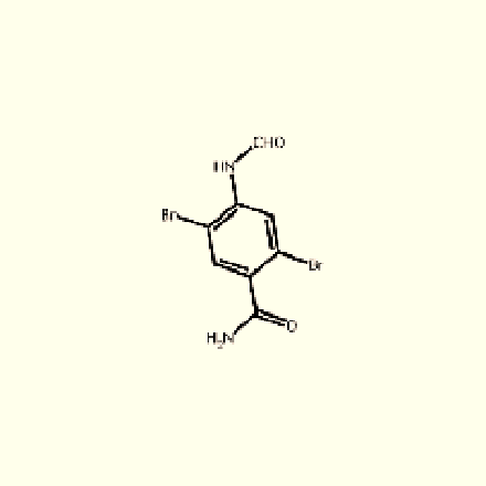 NC(=O)c1cc(Br)c(NC=O)cc1Br